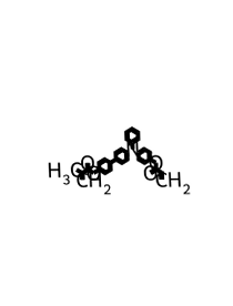 C=CC(=O)Oc1ccc(N(c2ccccc2)c2ccc(-c3ccc(OC(=O)C(=C)C)cc3)cc2)cc1